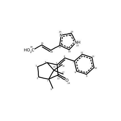 CC12CCC(C(=Cc3ccccc3)C1=O)C2(C)C.O=C(O)C=Cc1c[nH]cn1